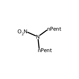 CCCCCN(CCCCC)[N+](=O)[O-]